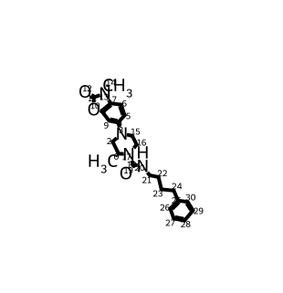 C[C@H]1CN(c2ccc3c(c2)oc(=O)n3C)CCN1C(=O)NCCCCc1ccccc1